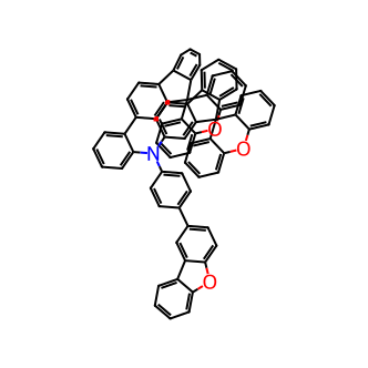 c1ccc2c(c1)Oc1ccccc1C21c2ccccc2-c2ccc(-c3ccccc3N(c3ccc(-c4ccc5oc6ccccc6c5c4)cc3)c3ccc4c(c3)C3(c5ccccc5Oc5ccccc53)c3ccccc3-4)cc21